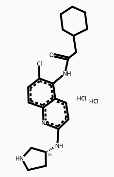 Cl.Cl.O=C(CC1CCCCC1)Nc1c(Cl)ccc2nc(N[C@@H]3CCNC3)ccc12